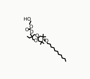 CCCCCCCCCCCON1C(C)(C)CC2(CC1(C)C)OCC(CC)(COC(=O)OCCO)CO2